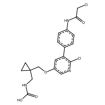 O=C(O)NCC1(COc2cnc(Cl)c(-c3ccc(NC(=O)CCl)cc3)c2)CC1